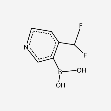 OB(O)c1cnccc1C(F)F